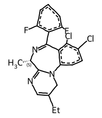 CCC1=CN=C2[C@H](C)N=C(c3c(F)cccc3F)c3c(ccc(Cl)c3Cl)N2C1